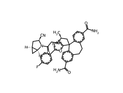 C[C@@H](CC1(c2nnc(-c3ccc(F)cc3)o2)c2ccc(C(N)=O)cc2CCc2cc(C(N)=O)ccc21)NCC(=O)N1[C@H](C#N)C[C@@H]2C[C@@H]21